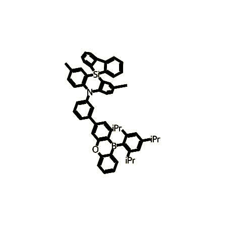 Cc1ccc2c(c1)[Si]1(c3ccccc3-c3ccccc31)c1cc(C)ccc1N2c1cccc(-c2ccc3c(c2)Oc2ccccc2B3c2c(C(C)C)cc(C(C)C)cc2C(C)C)c1